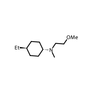 CC[C@H]1CC[C@H](N(C)CCOC)CC1